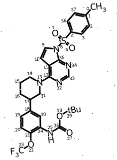 Cc1ccc(S(=O)(=O)n2ccc3c(N4CCCC(c5ccc(OC(F)(F)F)c(NC(=O)OC(C)(C)C)c5)C4)ncnc32)cc1